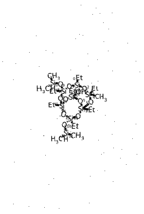 CC[SiH]1O[Si](C)(CC)O[Si]2(CC)O[Si](O)(CC)O[Si](CC)(O[Si](CC)(O[SiH](C)C)O1)O[Si](CC)(O[SiH](C)C)O2